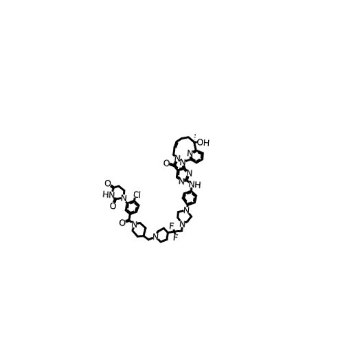 C[C@@]1(O)CC/C=C\Cn2c(=O)c3cnc(Nc4ccc(N5CCN(CC(F)(F)C6CCN(CC7CCN(C(=O)c8ccc(Cl)c(N9CCC(=O)NC9=O)c8)CC7)CC6)CC5)cc4)nc3n2-c2cccc1n2